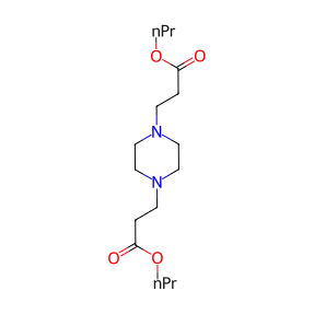 CCCOC(=O)CCN1CCN(CCC(=O)OCCC)CC1